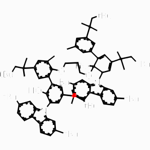 Cc1cc(C2=CC(C(C)(C)CC(C)(C)C)=CC(n3c4cc(C(C)(C)C)ccc4c4ccc(C(C)(C)C)cc43)C2(O)OCCCOc2c(C)cc(C(C)(C)CC(C)(C)C)cc2-c2cc(C(C)(C)CC(C)(C)C)cc(-n3c4cc(C(C)(C)C)ccc4c4ccc(C(C)(C)C)cc43)c2O)cc(C(C)(C)CC(C)(C)C)c1